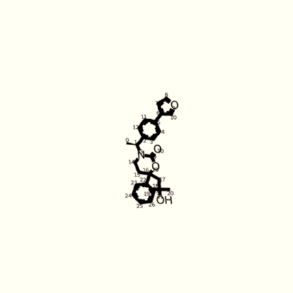 C[C@@H](c1ccc(-c2ccoc2)cc1)N1CCC(CC(C)(C)O)(c2ccccc2)OC1=O